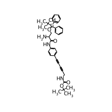 CC(C)(C)OC(=O)NCC#CC#Cc1ccc(NC(=O)C(N)CO[Si](c2ccccc2)(c2ccccc2)C(C)(C)C)cc1